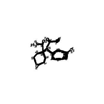 C#CC(=O)N(c1cccc(C(F)(F)F)c1)C1(C(N)=O)CCOCC1